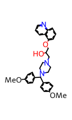 COc1ccc(C(c2ccc(OC)cc2)N2CCN(CC(O)COc3cccc4ncccc34)CC2)cc1